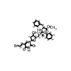 COC(=O)[C@H](Cc1ccccc1)NP(=O)(OC[C@H]1O[C@@H](n2cc(/C=C/Br)c(=O)[nH]c2=O)CC1O)Oc1ccccc1